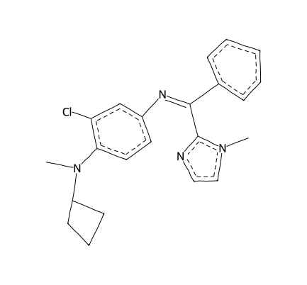 CN(c1ccc(N=C(c2ccccc2)c2nccn2C)cc1Cl)C1CCC1